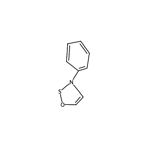 C1=CN(c2ccccc2)SO1